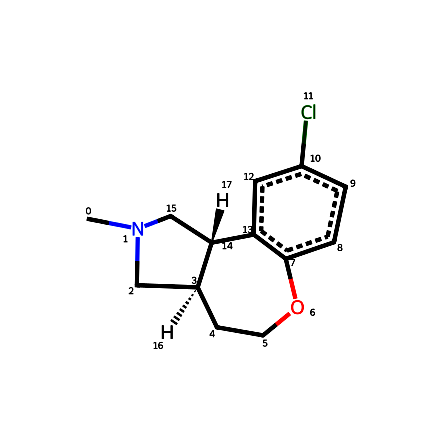 CN1C[C@@H]2CCOc3ccc(Cl)cc3[C@H]2C1